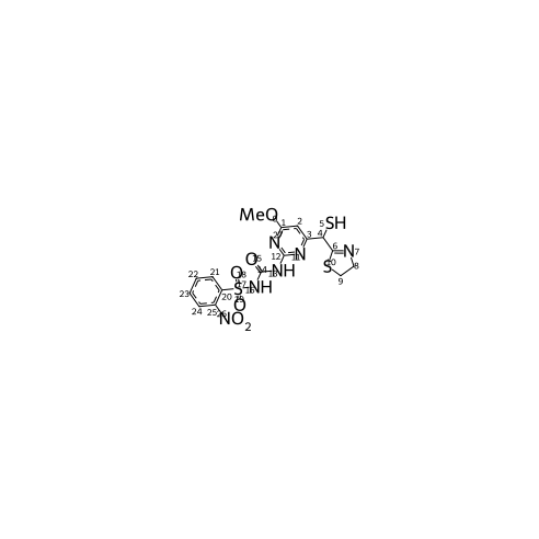 COc1cc(C(S)C2=NCCS2)nc(NC(=O)NS(=O)(=O)c2ccccc2[N+](=O)[O-])n1